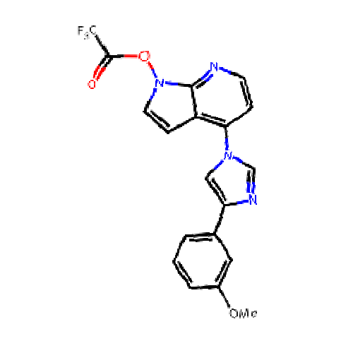 COc1cccc(-c2cn(-c3ccnc4c3ccn4OC(=O)C(F)(F)F)cn2)c1